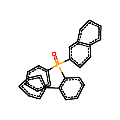 O=P(c1ccccc1)(c1ccc2ccccc2c1)c1ccccc1-c1ccccc1